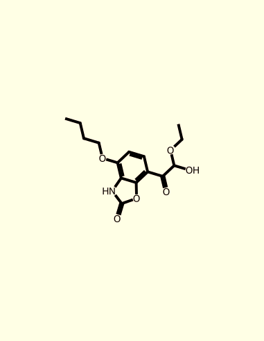 CCCCOc1ccc(C(=O)C(O)OCC)c2oc(=O)[nH]c12